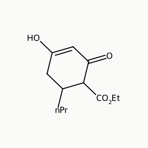 CCCC1CC(O)=CC(=O)C1C(=O)OCC